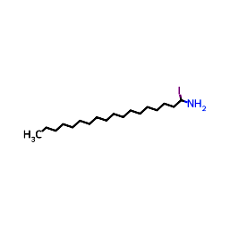 CCCCCCCCCCCCCCCCCC(N)I